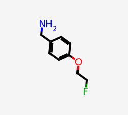 NCc1ccc(OCCF)cc1